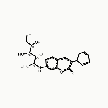 O=C[C@H](Nc1ccc2cc(C3C=CC=CC3)c(=O)oc2c1)[C@@H](O)[C@H](O)[C@H](O)CO